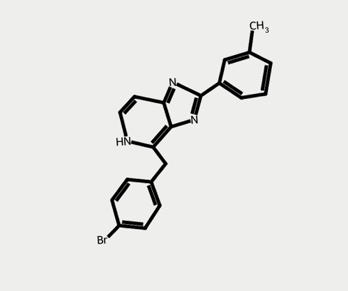 Cc1cccc(-c2nc3cc[nH]c(Cc4ccc(Br)cc4)c-3n2)c1